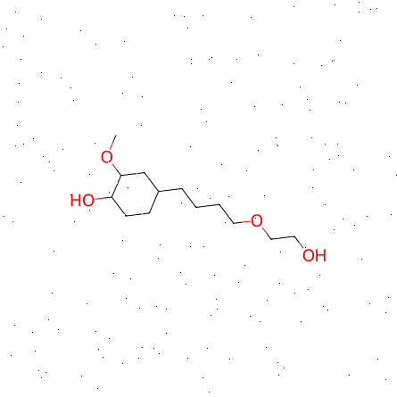 COC1CC(CCCCOCCO)CCC1O